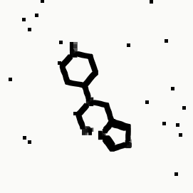 CC(C)CN(Cc1cscn1)C1CCNCC1